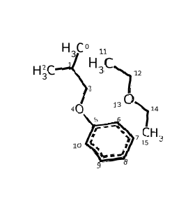 CC(C)COc1ccccc1.CCOCC